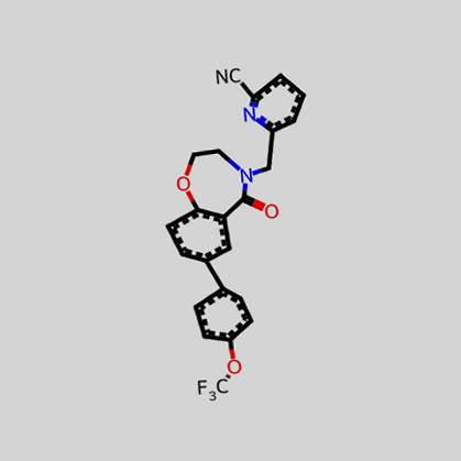 N#Cc1cccc(CN2CCOc3ccc(-c4ccc(OC(F)(F)F)cc4)cc3C2=O)n1